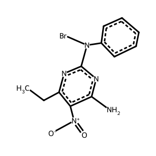 CCc1nc(N(Br)c2ccccc2)nc(N)c1[N+](=O)[O-]